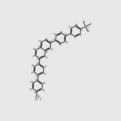 C[Si](C)(C)c1ccc(-c2ccc(-c3ccc4ccc(-c5ccc(-c6ccc(C(F)(F)F)cc6)cc5)cc4c3)cc2)cc1